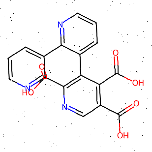 O=C(O)c1cnc(C(=O)O)c(-c2cccnc2-c2cccnc2)c1C(=O)O